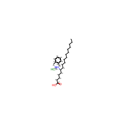 CCCCCCCCCCCCCCCCCC(=O)O.Cc1ccccc1C.Cl.N